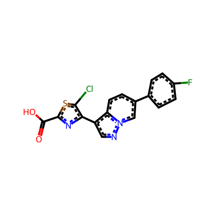 O=C(O)c1nc(-c2cnn3cc(-c4ccc(F)cc4)ccc23)c(Cl)s1